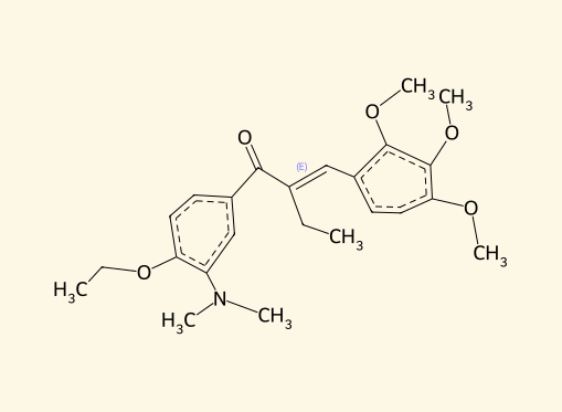 CCOc1ccc(C(=O)/C(=C/c2ccc(OC)c(OC)c2OC)CC)cc1N(C)C